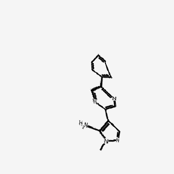 Cn1ncc(-c2cnc(-c3cc[c]cc3)cn2)c1N